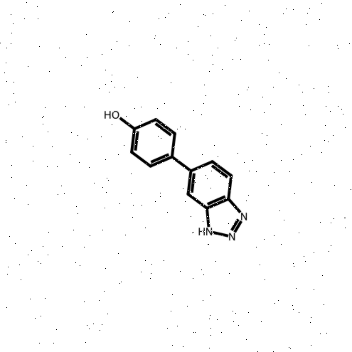 Oc1ccc(-c2ccc3nn[nH]c3c2)cc1